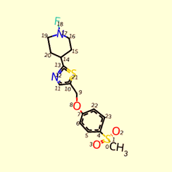 CS(=O)(=O)c1ccc(OCc2cnc(C3CCN(F)CC3)s2)cc1